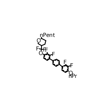 CCCCCC1CCC(C(F)(F)Oc2ccc(-c3ccc(-c4ccc(OCCC)c(F)c4F)cc3)c(F)c2F)CO1